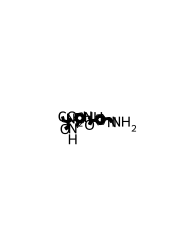 NN=Cc1ccc(C(=O)Nc2ccc3c(c2)CNC(=O)C(CC(=O)O)=N3)cc1